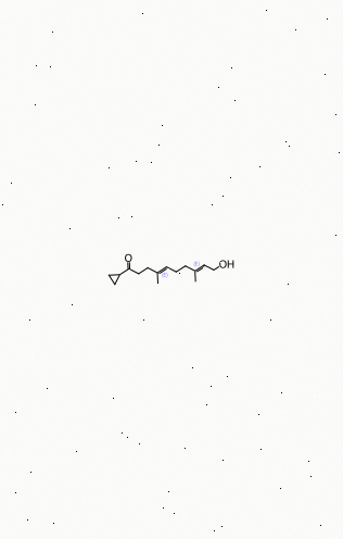 C/C(=C\CO)CC/C=C(\C)CCC(=O)C1CC1